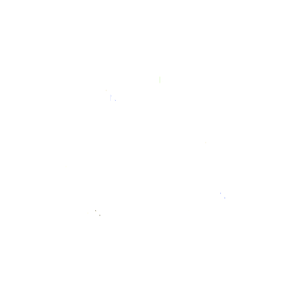 Cl.N#Cc1ccc2nccc(C3CCNCC3)c2c1